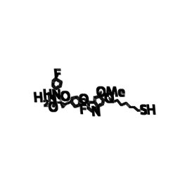 COc1cc2c(Oc3ccc(C4CC4(C(N)=O)C(=O)Nc4ccc(F)cc4)cc3F)ccnc2cc1OCCCCCCCS